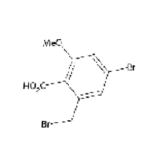 COc1cc(Br)cc(CBr)c1C(=O)O